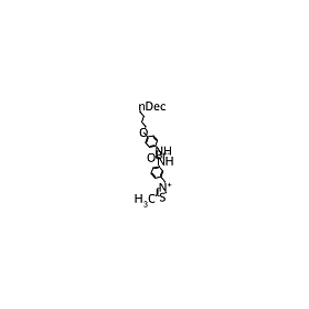 CCCCCCCCCCCCCCOc1ccc(NC(=O)Nc2cccc(C[n+]3csc(C)c3)c2)cc1.[Br-]